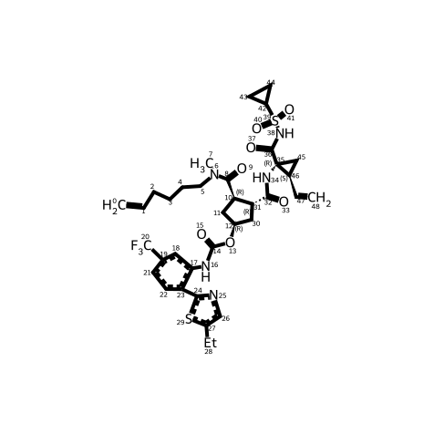 C=CCCCCN(C)C(=O)[C@@H]1C[C@H](OC(=O)Nc2cc(C(F)(F)F)ccc2-c2ncc(CC)s2)C[C@H]1C(=O)N[C@]1(C(=O)NS(=O)(=O)C2CC2)C[C@H]1C=C